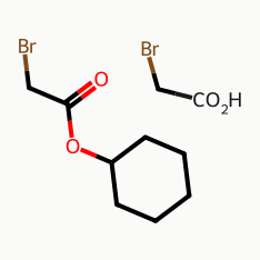 O=C(CBr)OC1CCCCC1.O=C(O)CBr